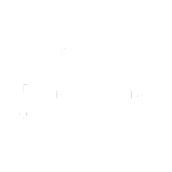 O=C(c1ccccc1)C(F)(F)CC[c-]1cccc1.[Fe+2].c1cc[cH-]c1